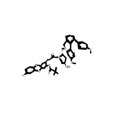 COc1ccc(-c2cccc(COC[C@@H]3C[C@@H](O)CN3C(=O)CCc3cc4nc5ccc(=O)cc-5oc4cc3OC(=O)C(C)(C)C)c2-c2ccc(OC)cc2)cc1